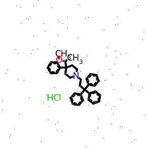 COC(C)C1(c2ccccc2)CCN(CCC(c2ccccc2)(c2ccccc2)c2ccccc2)CC1.Cl